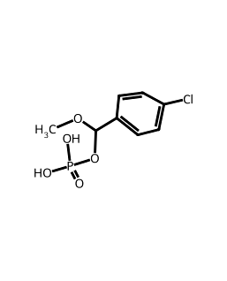 COC(OP(=O)(O)O)c1ccc(Cl)cc1